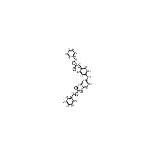 O=C(OCc1ccccc1)Sc1ccc(Cc2ccc(SC(=O)OCc3ccccc3)cc2)cc1